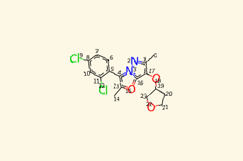 Cc1nn2c(-c3ccc(Cl)cc3Cl)c(C)oc2c1OC1CCOC1